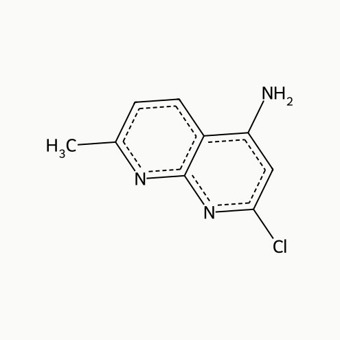 Cc1ccc2c(N)cc(Cl)nc2n1